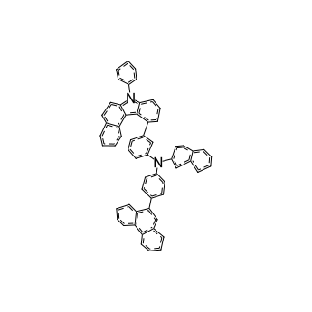 c1ccc(-n2c3cccc(-c4cccc(N(c5ccc(-c6cc7ccccc7c7ccccc67)cc5)c5ccc6ccccc6c5)c4)c3c3c4ccccc4ccc32)cc1